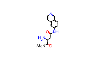 CNC(=O)C(N)CC(=O)Nc1ccc2cnccc2c1